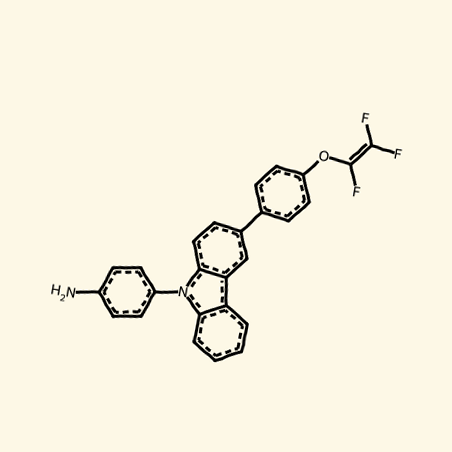 Nc1ccc(-n2c3ccccc3c3cc(-c4ccc(OC(F)=C(F)F)cc4)ccc32)cc1